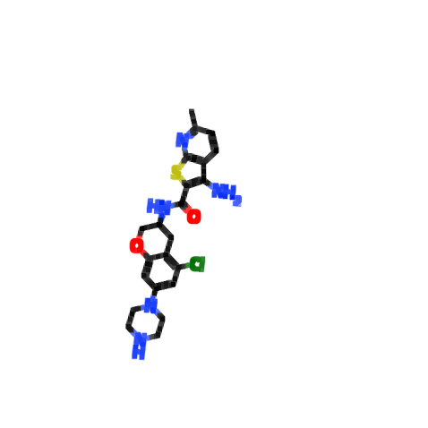 Cc1ccc2c(N)c(C(=O)N[C@@H]3COc4cc(N5CCNCC5)cc(Cl)c4C3)sc2n1